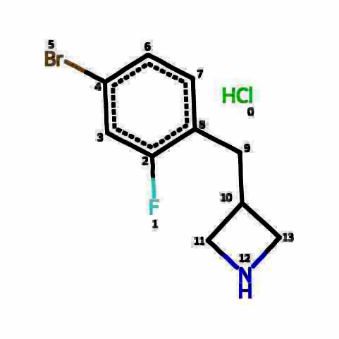 Cl.Fc1cc(Br)ccc1CC1CNC1